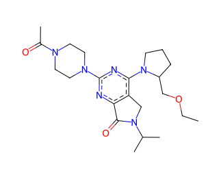 CCOCC1CCCN1c1nc(N2CCN(C(C)=O)CC2)nc2c1CN(C(C)C)C2=O